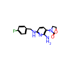 Nc1nc(NCc2ccc(F)cc2)ccc1N1CCOC1=O